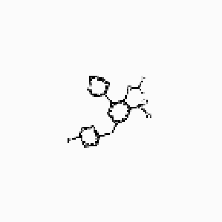 O=[N+]([O-])c1cc(Cc2ccc(F)cc2)cc(-c2ccccc2)c1OC(F)F